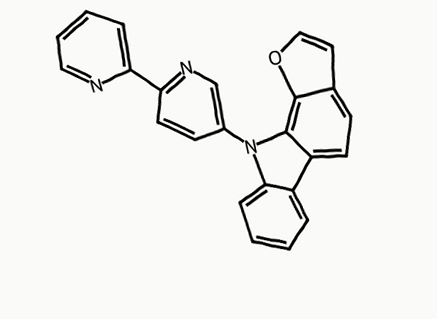 c1ccc(-c2ccc(-n3c4ccccc4c4ccc5ccoc5c43)cn2)nc1